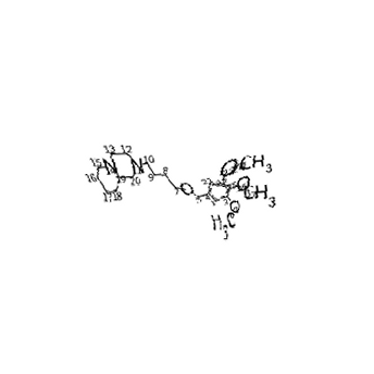 COc1cc(COCCCCN2CCN3CCCCC3C2)cc(OC)c1OC